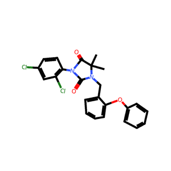 CC1(C)C(=O)N(c2ccc(Cl)cc2Cl)C(=O)N1Cc1ccccc1Oc1ccccc1